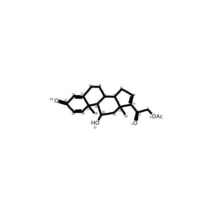 CC(=O)OCC(=O)C1=CCC2C3CCC4=CC(=O)C=CC4(C)C3C(O)CC12C